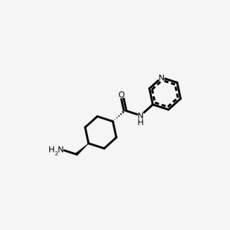 NC[C@H]1CC[C@H](C(=O)Nc2cccnc2)CC1